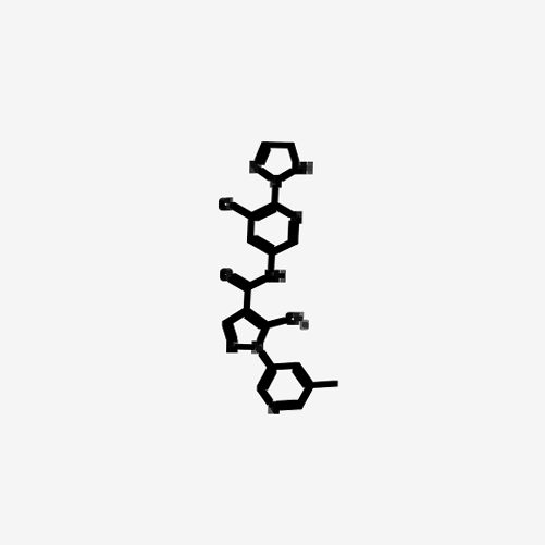 Cc1cncc(-n2ncc(C(=O)Nc3cnc(N4N=CCN4)c(Cl)c3)c2C(F)(F)F)c1